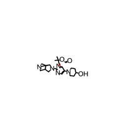 CC(C)(C)OC=O.OC1CCN(c2cnc(N3CC4CN5CC4C53)nc2)CC1